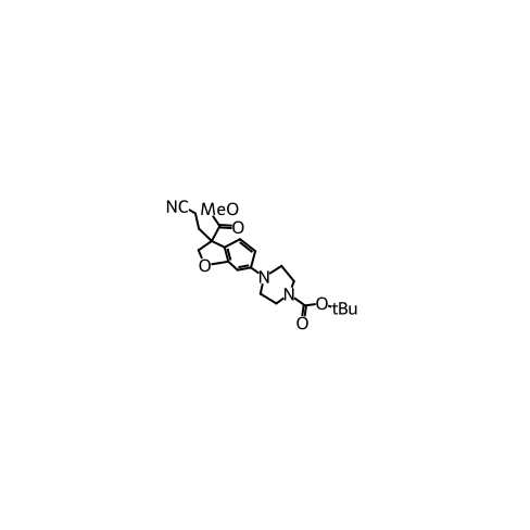 COC(=O)C1(CCC#N)COc2cc(N3CCN(C(=O)OC(C)(C)C)CC3)ccc21